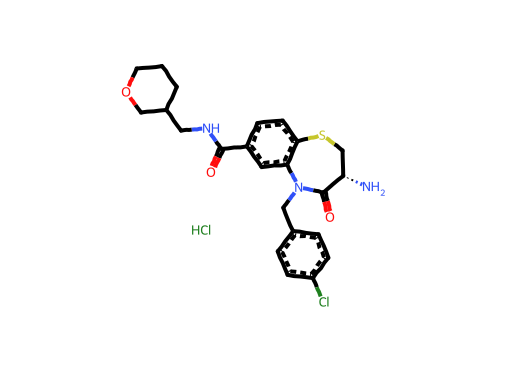 Cl.N[C@H]1CSc2ccc(C(=O)NCC3CCCOC3)cc2N(Cc2ccc(Cl)cc2)C1=O